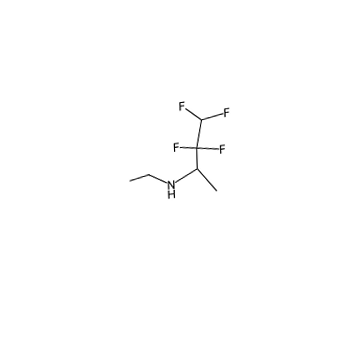 CCNC(C)C(F)(F)C(F)F